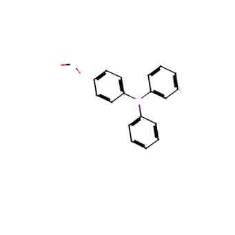 O.[Ca+2].[O-]B[O-].c1ccc(P(c2ccccc2)c2ccccc2)cc1